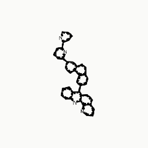 c1ccc(-c2cccc(-c3ccc4c(ccc5ccc(-c6c7ccccc7nc7c6ccc6cccnc67)cc54)c3)n2)nc1